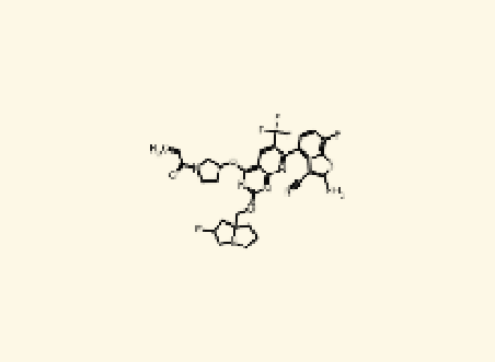 C=CC(=O)N1CCC(Oc2nc(OCC34CCCN3CC(F)C4)nc3nc(-c4ccc(F)c5sc(N)c(C#N)c45)c(C(F)(F)F)cc23)C1